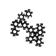 c1ccc(-c2cccc(N(c3ccc(-c4ccc(-n5c(-c6ccccc6)c(-c6ccccc6)c6ccc7ccccc7c65)cc4)cc3)c3cccc(-c4ccccc4)c3)c2)cc1